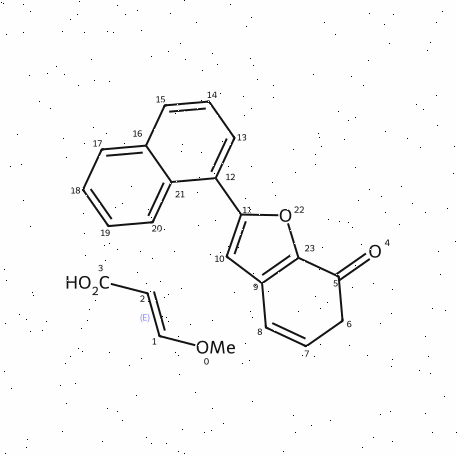 CO/C=C/C(=O)O.O=C1CC=Cc2cc(-c3cccc4ccccc34)oc21